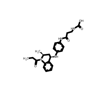 CCC(=O)N1c2ccccc2[C@H](Nc2ccc(NC(=O)CCNC(=O)O)cc2)C[C@@H]1C